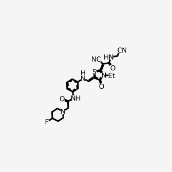 CCn1c(=C(C#N)C(=O)NCC#N)sc(=CNc2cccc(NC(=O)CN3CCC(F)CC3)c2)c1=O